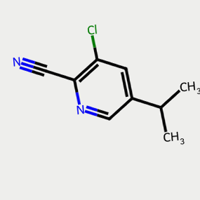 CC(C)c1cnc(C#N)c(Cl)c1